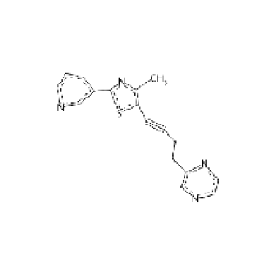 Cc1nc(-c2cccnc2)sc1C#CCCc1cnccn1